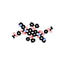 C=C(C)C(=O)Oc1ccc(OC(=O)C(c2ccc3cccnc3c2)N2C(=O)c3cc(Oc4ccccc4)c4c5c(Oc6ccccc6)cc6c7c(cc(Oc8ccccc8)c(c8c(Oc9ccccc9)cc(c3c48)C2=O)c75)C(=O)N(C(C(=O)Oc2ccc(OC(=O)C(=C)C)cc2)c2ccc3cccnc3c2)C6=O)cc1